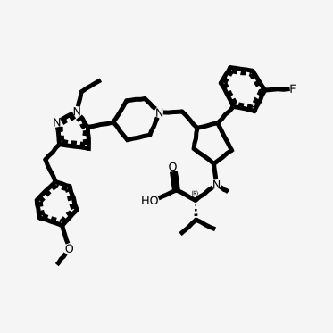 CCn1nc(Cc2ccc(OC)cc2)cc1C1CCN(CC2CC(N(C)[C@@H](C(=O)O)C(C)C)CC2c2cccc(F)c2)CC1